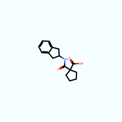 O=C(O)C1(C(=O)NC2Cc3ccccc3C2)CCCC1